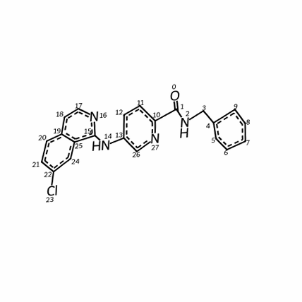 O=C(NCc1ccccc1)c1ccc(Nc2nccc3ccc(Cl)cc23)cn1